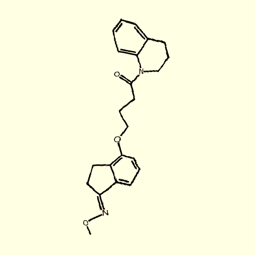 CON=C1CCc2c(OCCCC(=O)N3CCCc4ccccc43)cccc21